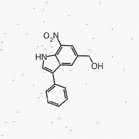 O=[N+]([O-])c1cc(CO)cc2c(-c3ccccc3)c[nH]c12